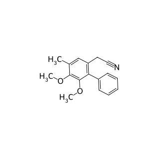 COc1c(C)cc(CC#N)c(-c2ccccc2)c1OC